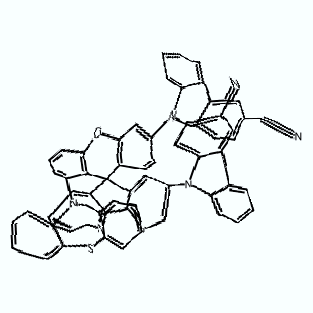 N#Cc1ccc2c(c1)c1ccccc1n2-c1ccc2c(c1)Oc1cccc(N3c4ccccc4Sc4ccccc43)c1C21c2cccnc2-c2ncc(-n3c4ccccc4c4cc(C#N)ccc43)cc21